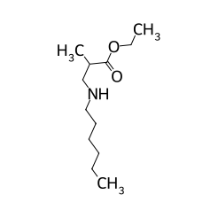 CCCCCCNCC(C)C(=O)OCC